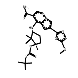 CSc1nnc(-c2cc3c(N[C@@H]4CC[C@](C)(NC(=O)OC(C)(C)C)C4(C)C)c(C(N)=O)cnn3c2)o1